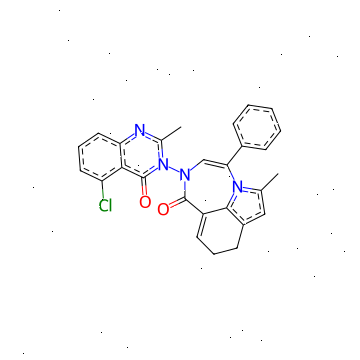 Cc1cc2c3n1C(c1ccccc1)=CN(n1c(C)nc4cccc(Cl)c4c1=O)C(=O)C3=CCC2